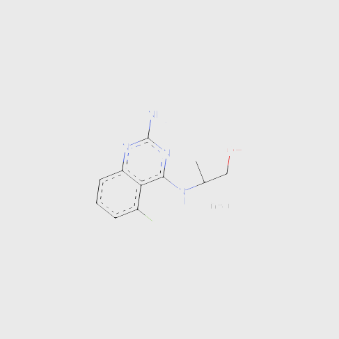 CCCC[C@](C)(CO)Nc1nc(N)nc2cccc(F)c12